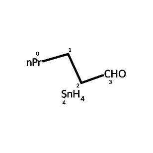 CCCCCC=O.[SnH4]